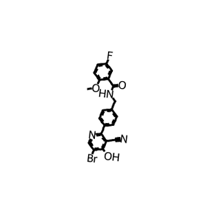 COc1ccc(F)cc1C(=O)NCc1ccc(-c2ncc(Br)c(O)c2C#N)cc1